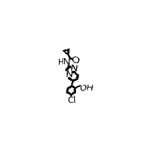 O=C(Nc1cn2cc(-c3ccc(Cl)cc3CO)ccc2n1)C1CC1